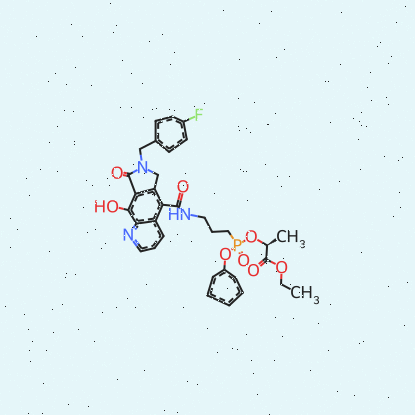 CCOC(=O)[C@H](C)OP(=O)(CCCNC(=O)c1c2c(c(O)c3ncccc13)C(=O)N(Cc1ccc(F)cc1)C2)Oc1ccccc1